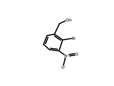 O=[N+]([O-])c1cccc(CO)c1Br